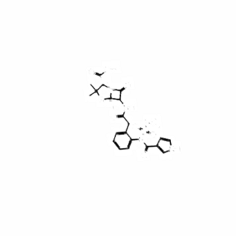 CC1(C)S[C@@H]2C(NC(=O)Cc3ccccc3N(C(=O)c3cc[nH]c3)S(N)(=O)=O)C(=O)N2[C@H]1C(=O)O